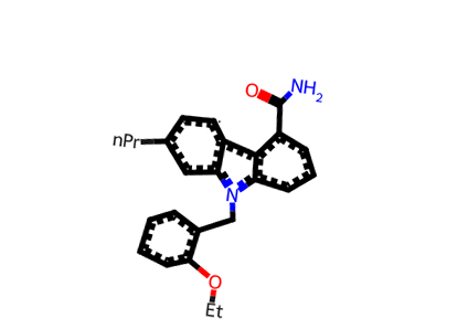 CCCc1c[c]c2c3c(C(N)=O)cccc3n(Cc3ccccc3OCC)c2c1